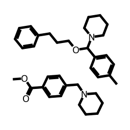 COC(=O)c1ccc(CN2CCCCC2)cc1.Cc1ccc(C(OCCCc2ccccc2)N2CCCCC2)cc1